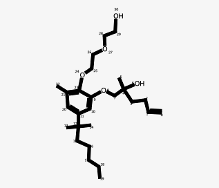 C=CCCC(C)(O)COc1cc(C(C)(C)CCCCC)cc(C)c1OCCOCCO